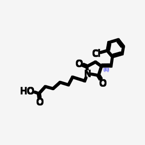 O=C(O)CCCCCCN1C(=O)C/C(=C\c2ccccc2Cl)C1=O